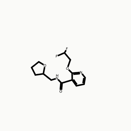 O=C(NCC1CCCO1)c1cccnc1OCC(F)F